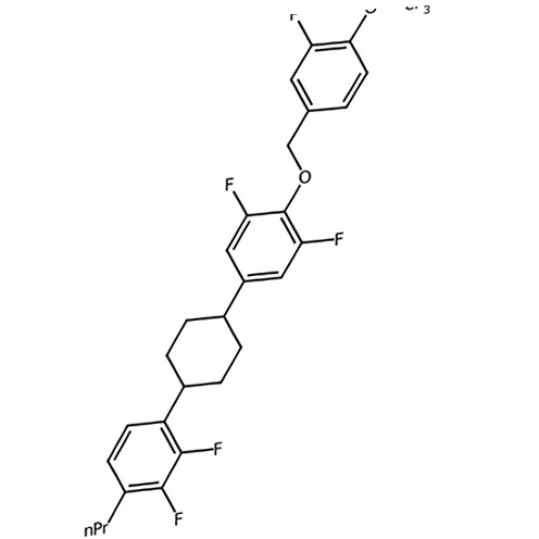 CCCc1ccc(C2CCC(c3cc(F)c(OCc4ccc(OC(F)(F)F)c(F)c4)c(F)c3)CC2)c(F)c1F